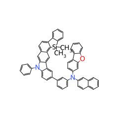 C[Si]1(C)c2ccccc2-c2ccc3cc4c(cc3c21)c1cc(-c2cccc(N(c3ccc5ccccc5c3)c3ccc5c(c3)oc3ccccc35)c2)ccc1n4-c1ccccc1